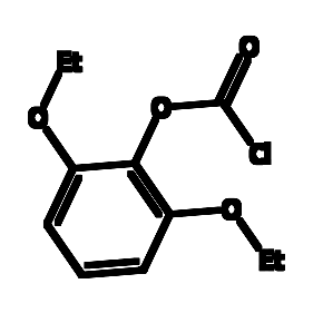 CCOc1cccc(OCC)c1OC(=O)Cl